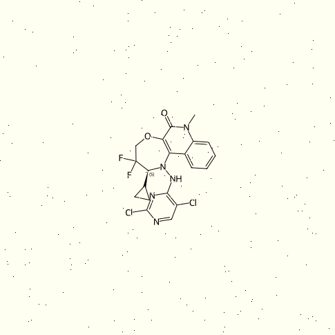 Cn1c(=O)c2c(c3ccccc31)N(Nc1nc(Cl)ncc1Cl)[C@@H](C1CC1)C(F)(F)CO2